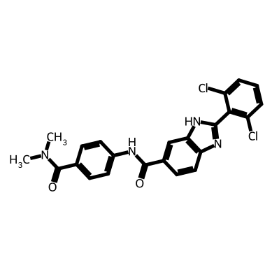 CN(C)C(=O)c1ccc(NC(=O)c2ccc3nc(-c4c(Cl)cccc4Cl)[nH]c3c2)cc1